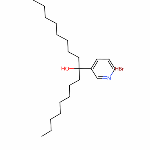 Br.CCCCCCCCC(O)(CCCCCCCC)c1cccnc1